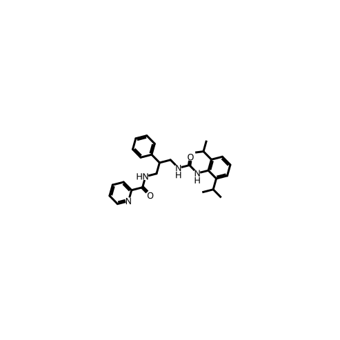 CC(C)c1cccc(C(C)C)c1NC(=O)NCC(CNC(=O)c1ccccn1)c1ccccc1